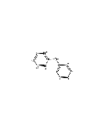 [c]1cnc(Oc2ccccc2)nc1